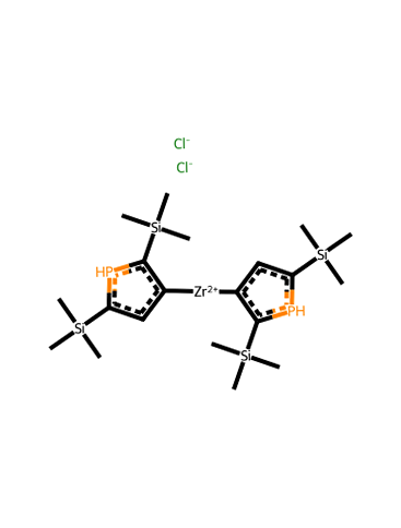 C[Si](C)(C)c1c[c]([Zr+2][c]2cc([Si](C)(C)C)[pH]c2[Si](C)(C)C)c([Si](C)(C)C)[pH]1.[Cl-].[Cl-]